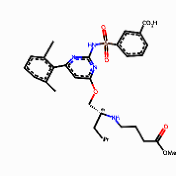 COC(=O)CCCN[C@@H](COc1cc(-c2c(C)cccc2C)nc(NS(=O)(=O)c2cccc(C(=O)O)c2)n1)CC(C)C